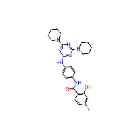 O=C(Nc1ccc(Nc2nc(N3CCCCC3)nc(N3CCCCC3)n2)cc1)c1ccc(F)cc1O